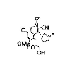 COc1cc(=O)c2cn(C3CC3)c(C#N)c(-c3cccc(F)c3)c-2c1CC(O)CO